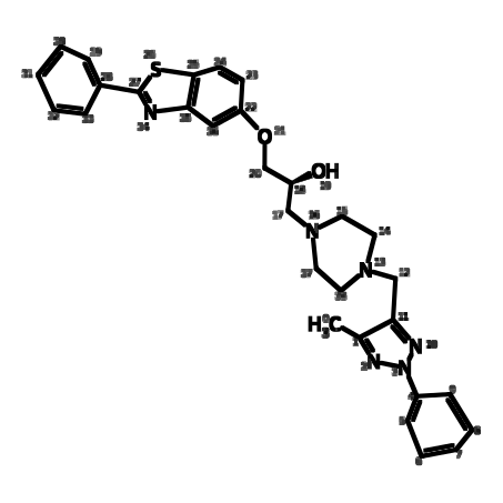 Cc1nn(-c2ccccc2)nc1CN1CCN(C[C@H](O)COc2ccc3sc(-c4ccccc4)nc3c2)CC1